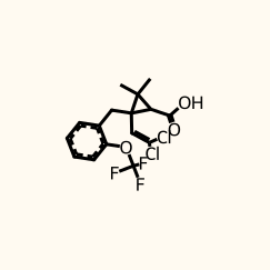 CC1(C)C(C(=O)O)C1(C=C(Cl)Cl)Cc1ccccc1OC(F)(F)F